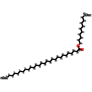 CCCCCCCCCCCCCCCCCCCCCCCCCCCCCCCCCCCCC(=O)OCCCCCCCCCCCCCCCCCCCC